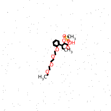 CCOCCOCCOCCOc1ccccc1C(CC)C(OS(C)(=O)=O)C(=O)O